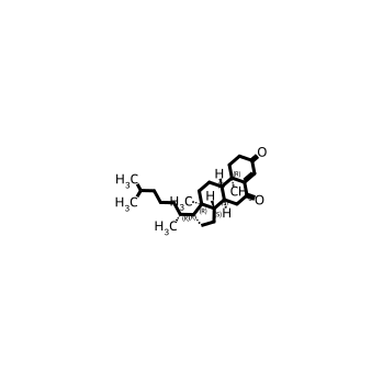 CC(C)CCC[C@@H](C)[C@H]1CC[C@H]2[C@@H]3CC(=O)C4=CC(=O)CC[C@]4(C)[C@H]3CC[C@]12C